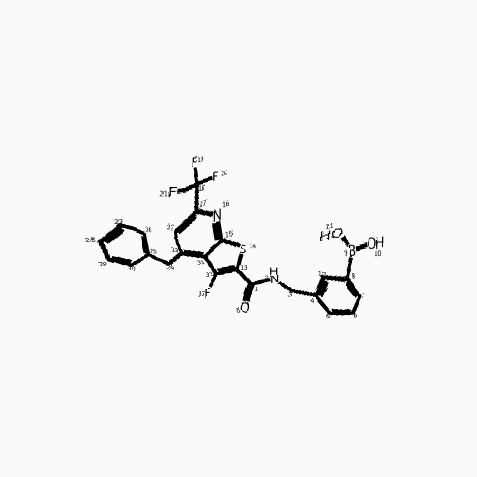 O=C(NCc1cccc(B(O)O)c1)c1sc2nc(C(F)(F)F)cc(Cc3ccccc3)c2c1F